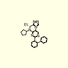 CC[C@@H]1c2nncn2-c2cnc(-c3ccccc3-c3ccccc3)nc2N1C1CCCC1